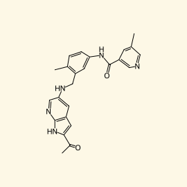 CC(=O)c1cc2cc(NCc3cc(NC(=O)c4cncc(C)c4)ccc3C)cnc2[nH]1